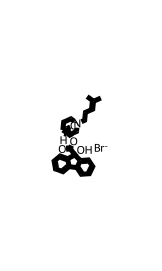 CC(C)=CCC[N+]12CCC(CC1)[C@@H](OC(=O)C1(O)c3ccccc3-c3ccccc31)C2.[Br-]